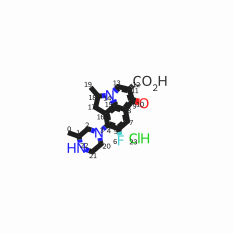 CC1CN(c2c(F)cc3c(=O)c(C(=O)O)cn4c3c2CC4C)CCN1.Cl